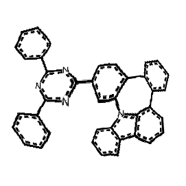 c1ccc(-c2nc(-c3ccccc3)nc(-c3ccc4c(c3)-n3c5ccccc5c5cccc(c53)-c3ccccc3-4)n2)cc1